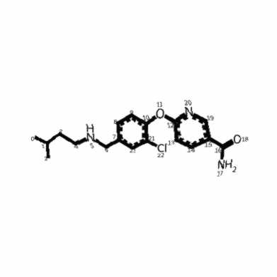 CC(C)CCNCc1ccc(Oc2ccc(C(N)=O)cn2)c(Cl)c1